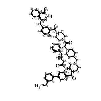 CCc1cccc(-c2cnc(C(=O)N3CCN(CC4CCN(CC(=O)N5CCN(C(=O)c6cc(Cc7n[nH]c(=O)c8ccccc78)ccc6F)CC5)CC4)CC3)c(NC(=O)CNCc3ccnnc3)c2)c1